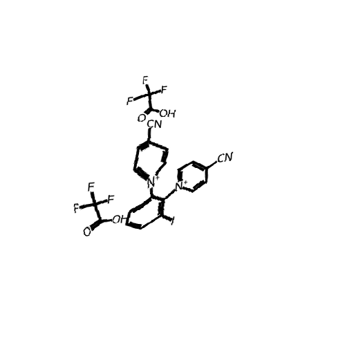 N#Cc1cc[n+](-c2cccc(I)c2-[n+]2ccc(C#N)cc2)cc1.O=C(O)C(F)(F)F.O=C(O)C(F)(F)F